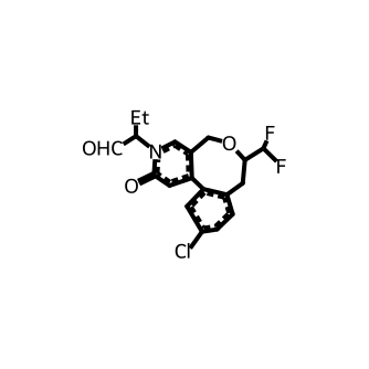 CCC(C=O)n1cc2c(cc1=O)-c1cc(Cl)ccc1CC(C(F)F)OC2